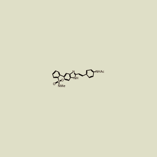 CNS(=O)(=O)c1ccccc1-c1ccc2[nH]c(/C=C/c3ccc(NC(C)=O)cc3)nc2c1